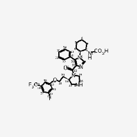 O=C(O)N[C@H]1CCCC[C@@H]1n1cnc(C(=O)N2CCNC[C@H]2CCOc2cc(F)cc(C(F)(F)F)c2)c1-c1ccccc1